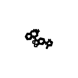 Cc1ccnn1-c1ccc(C(=O)N2C[C@@H](C)NCc3ccccc32)c(Cl)c1